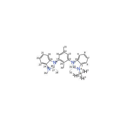 [2H]C([2H])([2H])N1c2ccccc2N(c2cc(C)cc(N3c4ccccc4N(C)[C@H]3C)c2C)[C@H]1C